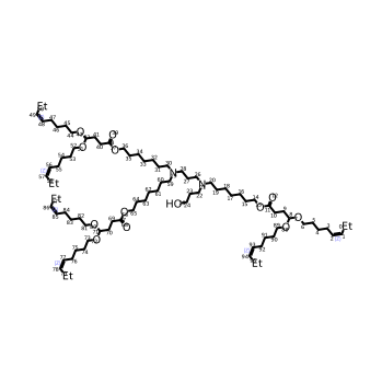 CC/C=C\CCCCOC(CCC(=O)OCCCCCCCN(CCCO)CCCN(CCCCCCCOC(=O)CCC(OCCCC/C=C\CC)OCCCC/C=C\CC)CCCCCCCOC(=O)CCC(OCCCC/C=C\CC)OCCCC/C=C\CC)OCCCC/C=C\CC